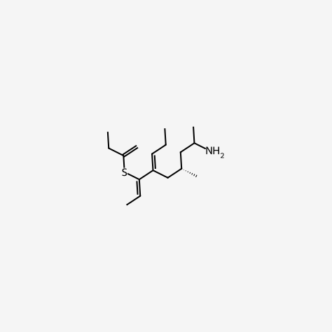 C=C(CC)SC(=C\C)/C(=C/CC)C[C@@H](C)CC(C)N